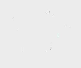 Cc1[c]c(Br)c(-c2ccccc2C)c(C(F)(C(F)(F)F)C(F)(F)C(F)(F)F)c1